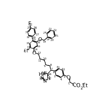 CCOC(=O)COc1ccc(C(CCCCCOc2cc(OCc3ccccc3)c(-c3ccc(F)cc3)cc2CC)c2nnn[nH]2)cc1